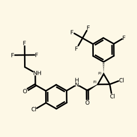 O=C(NCC(F)(F)F)c1cc(NC(=O)[C@H]2[C@H](c3cc(F)cc(C(F)(F)F)c3)C2(Cl)Cl)ccc1Cl